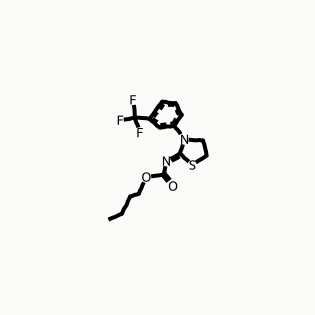 CCCCOC(=O)/N=C1\SCCN1c1cccc(C(F)(F)F)c1